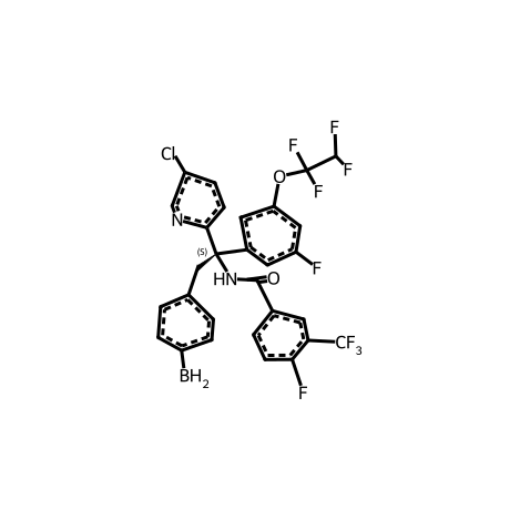 Bc1ccc(C[C@](NC(=O)c2ccc(F)c(C(F)(F)F)c2)(c2cc(F)cc(OC(F)(F)C(F)F)c2)c2ccc(Cl)cn2)cc1